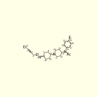 CCC#CCON=C1CCC(N2CCC(N(C(C)=O)c3ccc(F)cc3)CC2)CC1